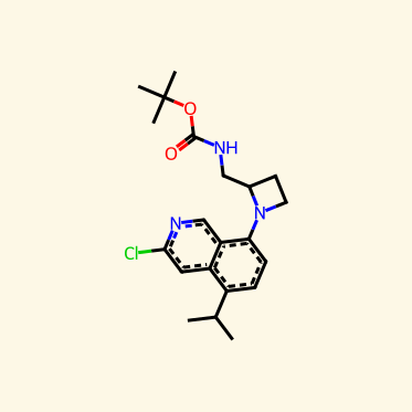 CC(C)c1ccc(N2CCC2CNC(=O)OC(C)(C)C)c2cnc(Cl)cc12